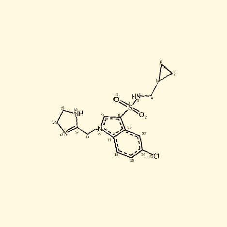 O=S(=O)(NCC1CC1)c1cn(CC2=NCCN2)c2ccc(Cl)cc12